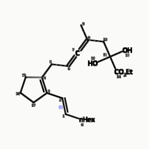 CCCCCC/C=C/C1=C(CC=C=C(C)CC(O)(O)C(=O)OCC)CCC1